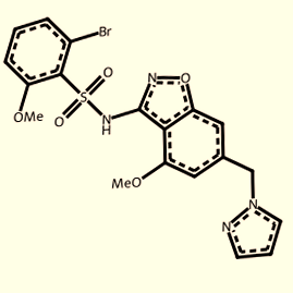 COc1cccc(Br)c1S(=O)(=O)Nc1noc2cc(Cn3cccn3)cc(OC)c12